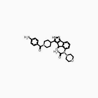 NC(=O)N(c1cccc2c1C(=O)c1c-2n[nH]c1C1CCN(C(=O)c2ccc(N)cc2)CC1)N1CCOCC1